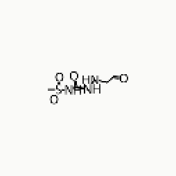 CS(=O)(=O)NC(=O)NNCC=O